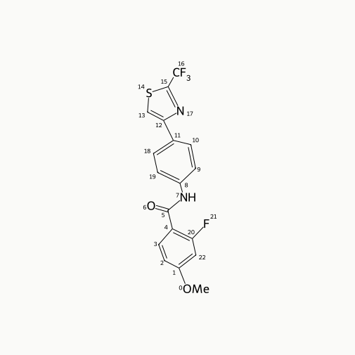 COc1ccc(C(=O)Nc2ccc(-c3csc(C(F)(F)F)n3)cc2)c(F)c1